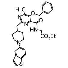 CCOC(=O)CNC(=O)c1nc(CC2CCN(c3ccc4sccc4c3)CC2)nc(C)c1OCc1ccccc1